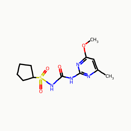 COc1cc(C)nc(NC(=O)NS(=O)(=O)C2CCCC2)n1